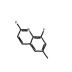 Cc1cc(F)c2nc(F)ccc2c1